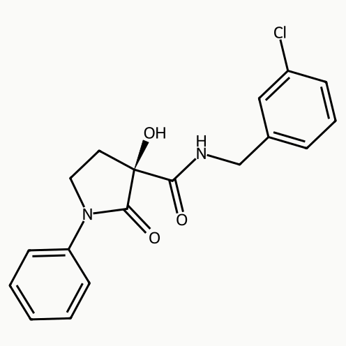 O=C(NCc1cccc(Cl)c1)[C@@]1(O)CCN(c2ccccc2)C1=O